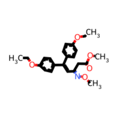 CCOc1ccc(C(=C/C(CC(=O)OC)=N/OC)c2ccc(OCC)cc2)cc1